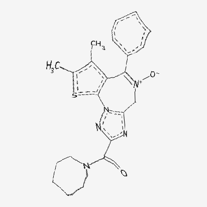 Cc1sc2c(c1C)C(c1ccccc1)=[N+]([O-])Cc1nc(C(=O)N3CCCCC3)nn1-2